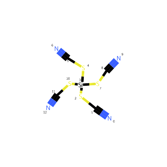 N#CS[Si](SC#N)(SC#N)SC#N